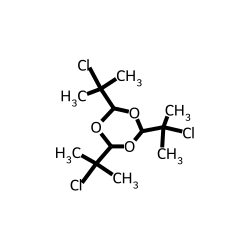 CC(C)(Cl)C1OC(C(C)(C)Cl)OC(C(C)(C)Cl)O1